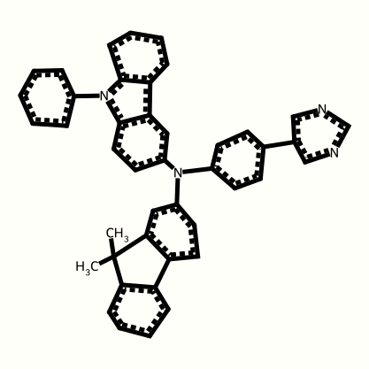 CC1(C)c2ccccc2-c2ccc(N(c3ccc(-c4cncnc4)cc3)c3ccc4c(c3)c3ccccc3n4-c3ccccc3)cc21